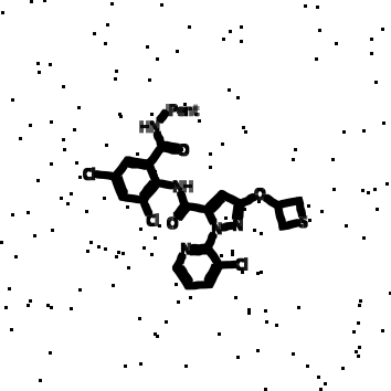 CCCC(C)NC(=O)c1cc(Cl)cc(Cl)c1NC(=O)c1cc(OC2CSC2)nn1-c1ncccc1Cl